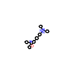 c1ccc(-c2nc(-c3ccccc3)nc(-c3ccc(-c4ccc(-c5ccc6c(c5)nc(-c5ccccc5)c5c7ccccc7oc65)cc4)cc3)n2)cc1